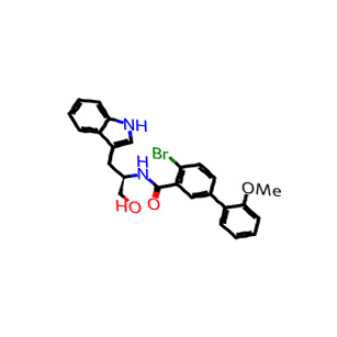 COc1ccccc1-c1ccc(Br)c(C(=O)N[C@@H](CO)Cc2c[nH]c3ccccc23)c1